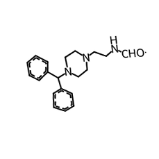 O=[C]NCCN1CCN(C(c2ccccc2)c2ccccc2)CC1